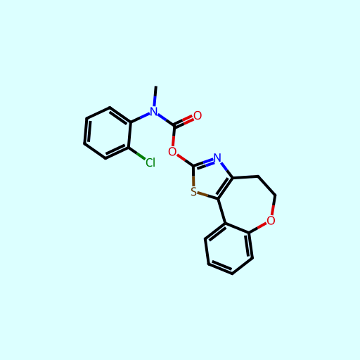 CN(C(=O)Oc1nc2c(s1)-c1ccccc1OCC2)c1ccccc1Cl